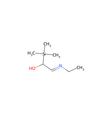 CCN=CC(O)[Si](C)(C)C